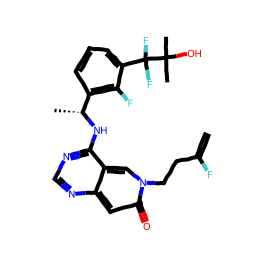 C=C(F)CCn1cc2c(N[C@H](C)c3cccc(C(F)(F)C(C)(C)O)c3F)ncnc2cc1=O